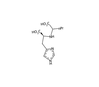 CCCC(N[C@@H](Cc1c[nH]cn1)C(=O)O)C(=O)O